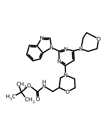 CC(C)(C)OC(=O)NCC1CN(c2cc(N3CCOCC3)nc(-n3cnc4ccccc43)n2)CCO1